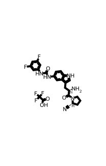 N#C[C@H]1CCCN1C(=O)[C@@H](N)Cc1c[nH]c2ccc(NC(=O)Nc3cc(F)cc(F)c3)cc12.O=C(O)C(F)(F)F